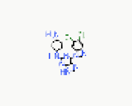 NC1CCC(Nc2nc(-n3cnc4cc(Cl)c(Cl)cc43)c3nc[nH]c3n2)CC1